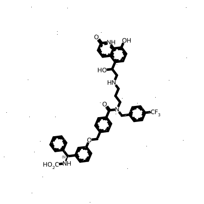 O=C(O)N[C@@H](c1ccccc1)c1cccc(OCc2ccc(C(=O)N(CCCNCC(O)c3ccc(O)c4[nH]c(=O)ccc34)Cc3ccc(C(F)(F)F)cc3)cc2)c1